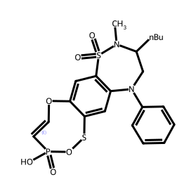 CCCCC1CN(c2ccccc2)c2cc3c(cc2S(=O)(=O)N1C)O/C=C/P(=O)(O)OS3